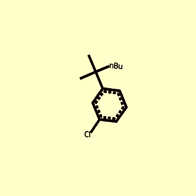 CCCCC(C)(C)c1cccc(Cl)c1